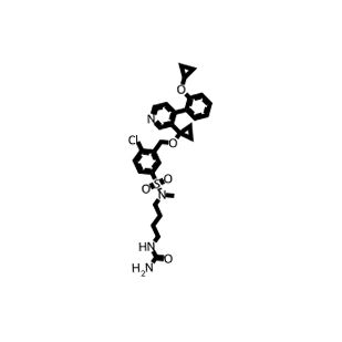 CN(CCCCNC(N)=O)S(=O)(=O)c1ccc(Cl)c(COC2(c3cnccc3-c3ccccc3OC3CC3)CC2)c1